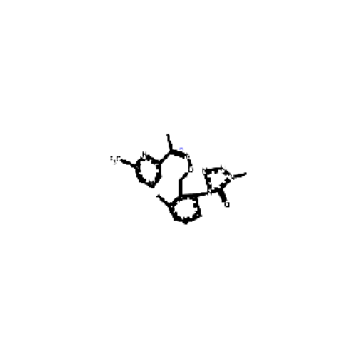 C/C(=N/OCc1c(C)cccc1-n1nnn(C)c1=O)c1cccc(C(F)(F)F)n1